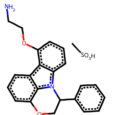 CS(=O)(=O)O.NCCOc1cccc2c1c1cccc3c1n2C(c1ccccc1)CO3